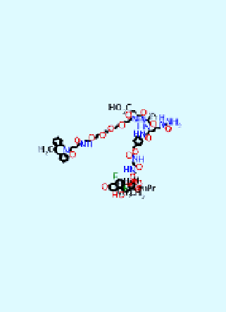 C=C1Cc2ccccc2N(C(=O)CCC(=O)NCCOCCOCCOCCOCCC(=O)N[C@H](CCC(=O)O)C(=O)N[C@H](C(=O)N[C@@H](CCCNC(N)=O)C(=O)Nc2ccc(COC(=O)NCC(=O)NCOCC(=O)[C@@]34OC(CCC)O[C@@H]3C[C@H]3[C@@H]5C[C@H](F)C6=CC(=O)C=C[C@]6(C)[C@@]5(F)[C@@H](O)C[C@@]34C)cc2)C(C)C)Cc2ccccc21